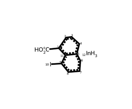 O=C(O)c1cccc2cccc(I)c12.[InH3]